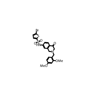 COc1ccc(CN2CC(=O)c3ccc(NS(=O)(=O)c4ccc(Br)s4)cc3C2)c(OC)c1